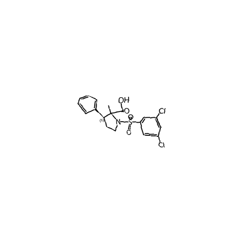 CC1(C(=O)O)[C@H](c2ccccc2)CCN1S(=O)(=O)c1cc(Cl)cc(Cl)c1